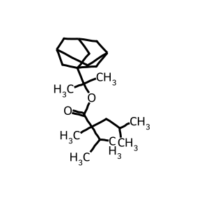 CC(C)CC(C)(C(=O)OC(C)(C)C12CC3CC(CC(C3)C1)C2)C(C)C